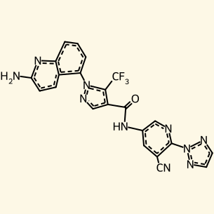 N#Cc1cc(NC(=O)c2cnn(-c3cccc4nc(N)ccc34)c2C(F)(F)F)cnc1-n1nccn1